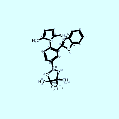 Cc1ccc(C)n1-c1ncc(B2OC(C)(C)C(C)(C)O2)cc1-c1nc2ccccc2o1